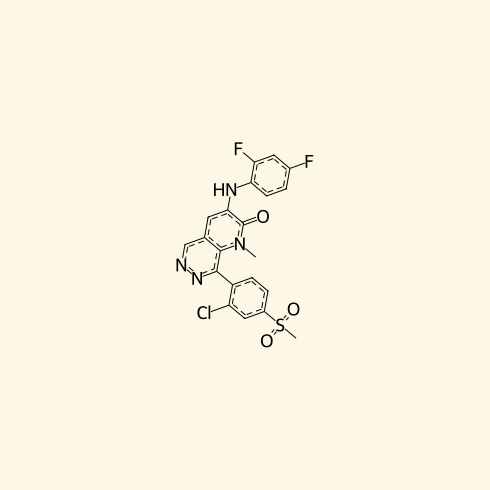 Cn1c(=O)c(Nc2ccc(F)cc2F)cc2cnnc(-c3ccc(S(C)(=O)=O)cc3Cl)c21